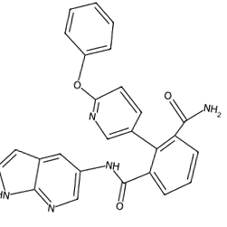 NC(=O)c1cccc(C(=O)Nc2cnc3[nH]ccc3c2)c1-c1ccc(Oc2ccccc2)nc1